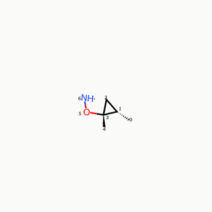 C[C@H]1C[C@@]1(C)O[NH]